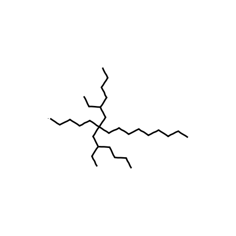 [CH2]CCCCC(CCCCCCCCC)(CC(CC)CCCC)CC(CC)CCCC